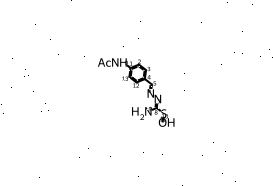 CC(=O)Nc1ccc(/C=N/N=C(\N)SO)cc1